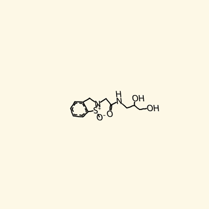 O=C(CN1Cc2ccccc2[S+]1[O-])NCC(O)CO